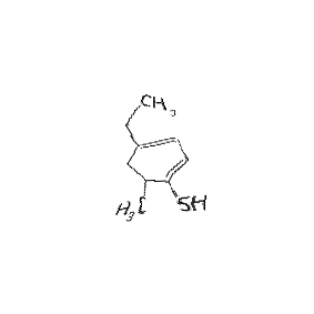 CCC1=CC=C(S)C(C)C1